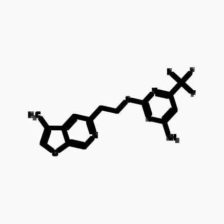 Cc1coc2cnc(CCSc3nc(N)cc(C(F)(F)F)n3)cc12